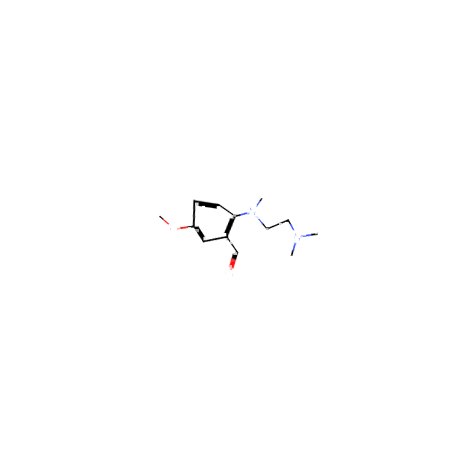 COc1ccc(N(C)CCN(C)C)c(C=O)c1